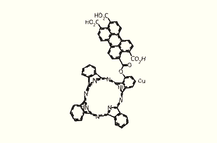 O=C(O)c1ccc2c3ccc(C(=O)O)c4c(C(=O)Oc5cccc6c7nc8nc(nc9[nH]c(nc%10nc(nc([nH]7)c56)-c5ccccc5-%10)c5ccccc95)-c5ccccc5-8)ccc(c5ccc(C(=O)O)c1c25)c43.[Cu]